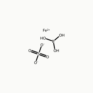 O=S(=O)([O-])[O-].OB(O)O.[Fe+2]